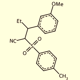 CCC(c1cccc(OC)c1)C(C#N)S(=O)(=O)c1ccc(C)cc1